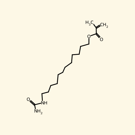 C=C(C)C(=O)OCCCCCCCCCCCCNC(N)=O